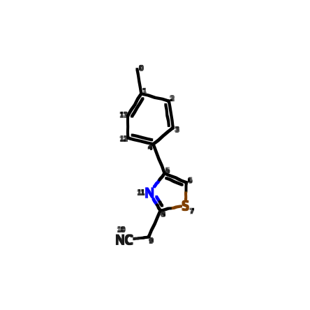 Cc1ccc(-c2csc(CC#N)n2)cc1